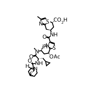 CC(=O)O[C@H](C[C@H](C(C)C)N(C)C(=O)[C@H](CC1CC1)NC(=O)[C@H]1CC2CCN1CC2)c1nc(C(=O)N[C@@H](Cc2nc(C)cs2)C[C@H](C)C(=O)O)cs1